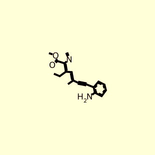 C=N/C(C(=O)OC)=C(\C=C(/C)C#Cc1ccccc1N)CC